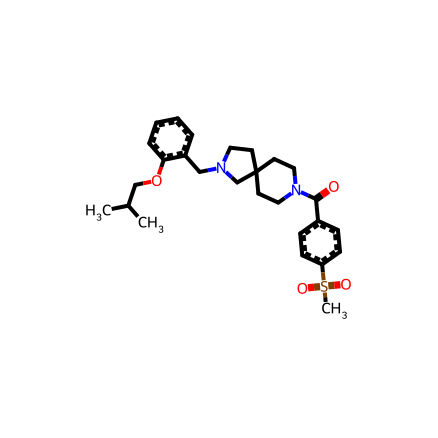 CC(C)COc1ccccc1CN1CCC2(CCN(C(=O)c3ccc(S(C)(=O)=O)cc3)CC2)C1